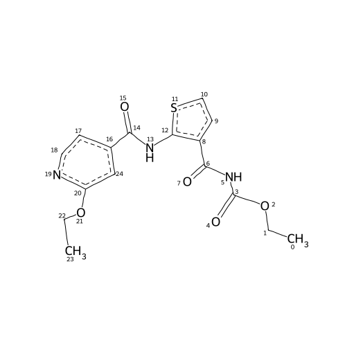 CCOC(=O)NC(=O)c1ccsc1NC(=O)c1ccnc(OCC)c1